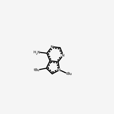 CC(C)(C)c1cn(C(C)(C)C)c2ncnc(N)c12